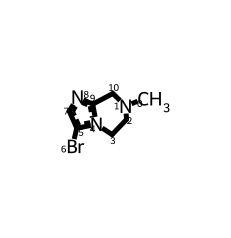 CN1CCn2c(Br)cnc2C1